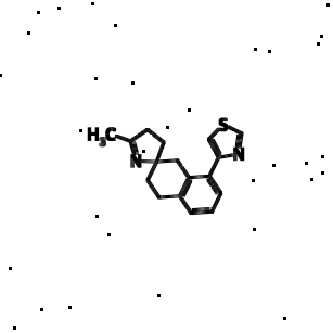 CC1=NC2(CC1)CCc1cccc(-c3cscn3)c1C2